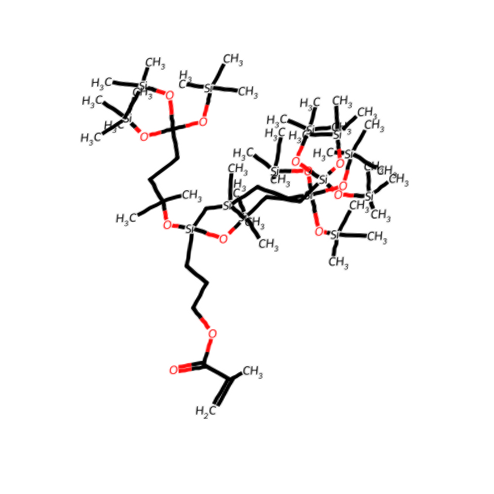 C=C(C)C(=O)OCCC[Si](C[Si](C)(C)CC[Si](O[Si](C)(C)C)(O[Si](C)(C)C)O[Si](C)(C)C)(OC(C)(C)CCC(O[Si](C)(C)C)(O[Si](C)(C)C)O[Si](C)(C)C)O[Si](C)(C)CC[Si](O[Si](C)(C)C)(O[Si](C)(C)C)O[Si](C)(C)C